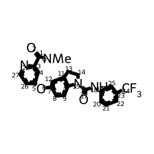 CNC(=O)c1cc(Oc2ccc3c(c2)CCN3C(=O)Nc2cccc(C(F)(F)F)c2)ccn1